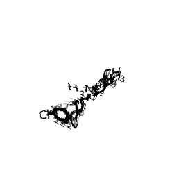 COC(CCl)CC(OCCCN1CCC(OC2CCC(Cl)CC2)CC1)C(C)N